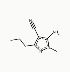 CCCc1nn(C)c(N)c1C#N